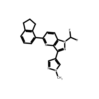 Cn1cc(-c2nn(C(F)F)c3ccc(-c4cccc5c4CCC5)nc23)cn1